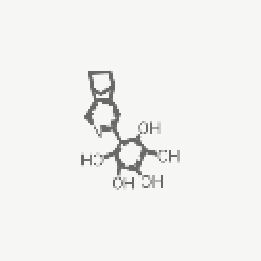 Oc1c(O)c(O)c(-c2cc3c(cn2)C2CCC3C2)c(O)c1O